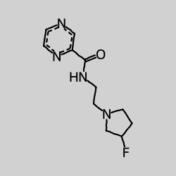 O=C(NCCN1CCC(F)C1)c1cnccn1